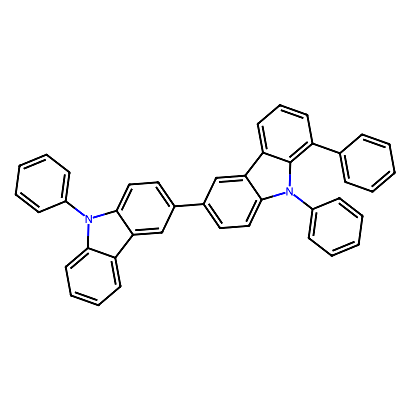 c1ccc(-c2cccc3c4cc(-c5ccc6c(c5)c5ccccc5n6-c5ccccc5)ccc4n(-c4ccccc4)c23)cc1